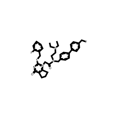 CCN(CC)CCN(Cc1ccc(-c2ccc(CF)cc2)cc1)C(=O)Cn1c(SCc2ccccc2F)nc(=O)c2c1CCC2